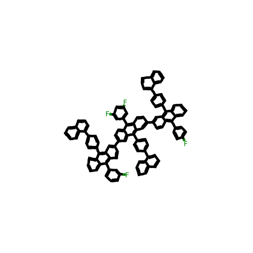 Fc1ccc(-c2c3ccccc3c(-c3ccc(-c4cccc5ccccc45)cc3)c3cc(-c4ccc5c(-c6cc(F)cc(F)c6)c6ccc(-c7ccc8c(-c9cccc(F)c9)c9ccccc9c(-c9ccc(-c%10cccc%11ccccc%10%11)cc9)c8c7)cc6c(-c6ccc(-c7cccc8ccccc78)cc6)c5c4)ccc23)cc1